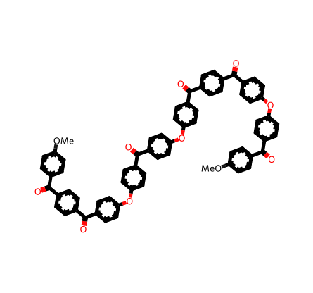 COc1ccc(C(=O)c2ccc(Oc3ccc(C(=O)c4ccc(C(=O)c5ccc(Oc6ccc(C(=O)c7ccc(Oc8ccc(C(=O)c9ccc(C(=O)c%10ccc(OC)cc%10)cc9)cc8)cc7)cc6)cc5)cc4)cc3)cc2)cc1